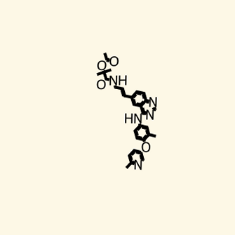 CC(=O)OC(C)(C)C(=O)NC/C=C/c1ccc2ncnc(Nc3ccc(Oc4ccc(C)nc4)c(C)c3)c2c1